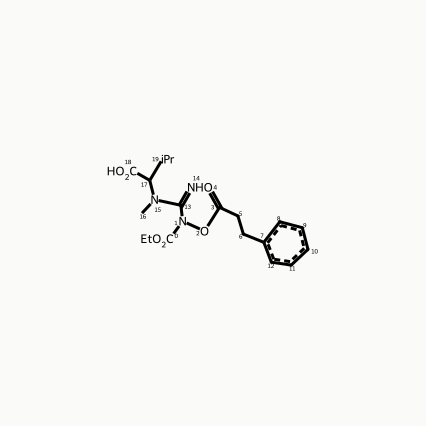 CCOC(=O)N(OC(=O)CCc1ccccc1)C(=N)N(C)C(C(=O)O)C(C)C